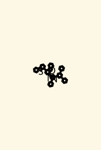 c1ccc(-c2cc(-c3ccccc3)cc(-c3cc(-c4ccc(-c5cccc6c5sc5ccccc56)c5c4oc4ccccc45)nc(-c4ccccc4)n3)c2)cc1